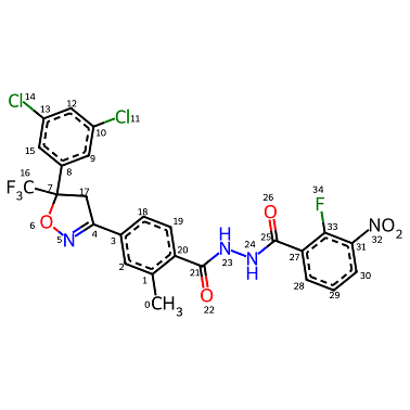 Cc1cc(C2=NOC(c3cc(Cl)cc(Cl)c3)(C(F)(F)F)C2)ccc1C(=O)NNC(=O)c1cccc([N+](=O)[O-])c1F